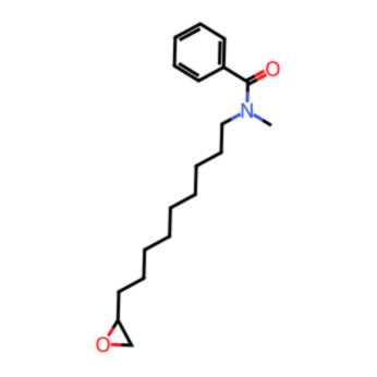 CN(CCCCCCCCCC1CO1)C(=O)c1ccccc1